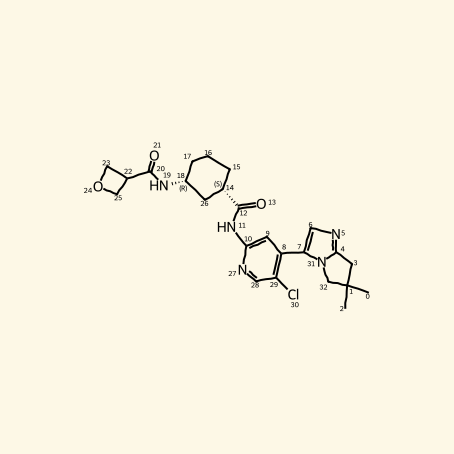 CC1(C)Cc2ncc(-c3cc(NC(=O)[C@H]4CCC[C@@H](NC(=O)C5COC5)C4)ncc3Cl)n2C1